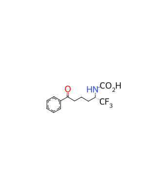 O=C(O)N[C@@H](CCCC(=O)c1ccccc1)C(F)(F)F